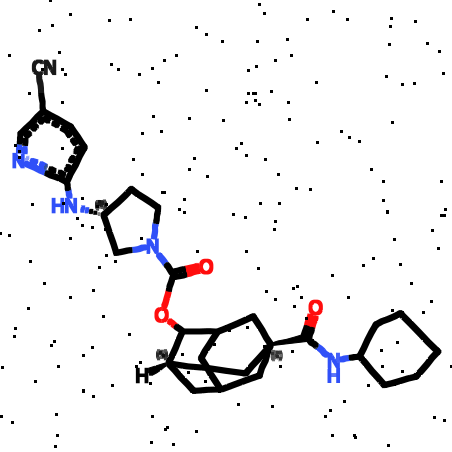 N#Cc1ccc(N[C@@H]2CCN(C(=O)OC3C4CC5C[C@H]3C[C@@](C(=O)NC3CCCCC3)(C5)C4)C2)nc1